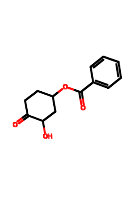 O=C(OC1CCC(=O)C(O)C1)c1ccccc1